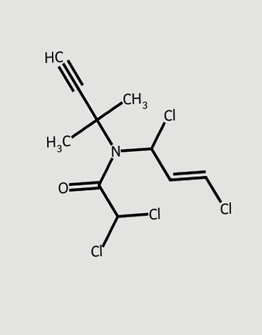 C#CC(C)(C)N(C(=O)C(Cl)Cl)C(Cl)C=CCl